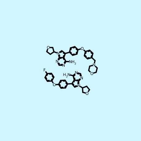 Nc1ncnc2c1c(-c1ccc(Oc3ccc(CN4CCOCC4)cc3)cc1)cn2C1CCOC1.Nc1ncnc2c1c(-c1ccc(Oc3ccc(F)cc3)cc1)cn2C1CCOC1